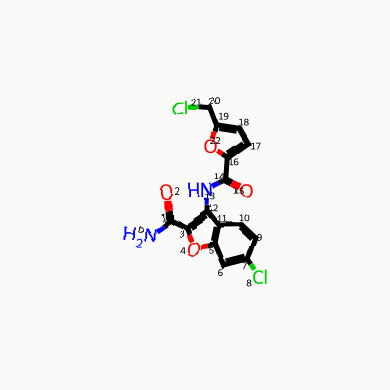 NC(=O)c1oc2cc(Cl)ccc2c1NC(=O)c1ccc(CCl)o1